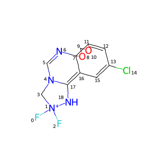 F[N+]1(F)CN2C=NC34OCOC3=CC(Cl)=CC4=C2N1